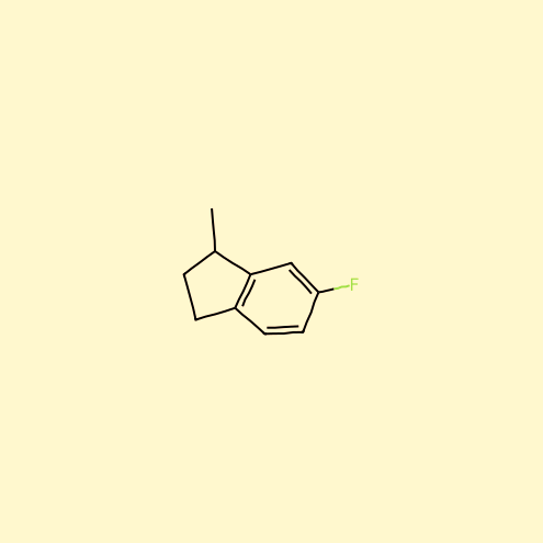 CC1CCc2ccc(F)cc21